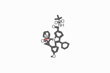 COc1ccc2c(c1)C1CC1(C(=O)N1C3CC1CN(C)C3)Cn1c-2c(C2CCCCC2)c2ccc(C(=O)NS(=O)(=O)C(C)(C)C)cc21